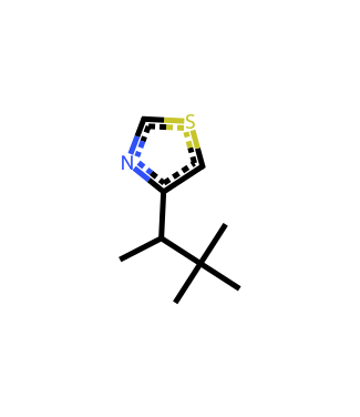 CC(c1cscn1)C(C)(C)C